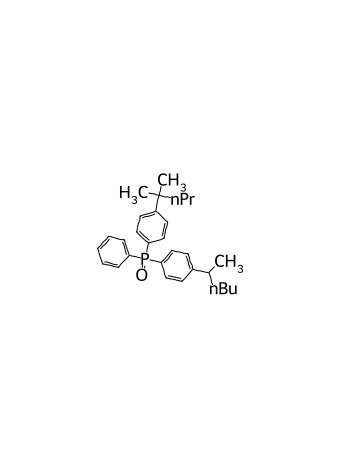 CCCCC(C)c1ccc(P(=O)(c2ccccc2)c2ccc(C(C)(C)CCC)cc2)cc1